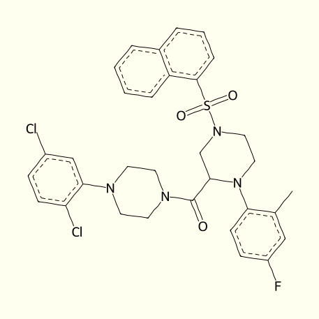 Cc1cc(F)ccc1N1CCN(S(=O)(=O)c2cccc3ccccc23)CC1C(=O)N1CCN(c2cc(Cl)ccc2Cl)CC1